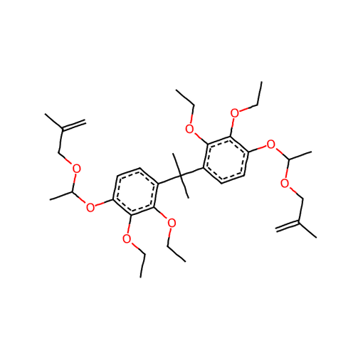 C=C(C)COC(C)Oc1ccc(C(C)(C)c2ccc(OC(C)OCC(=C)C)c(OCC)c2OCC)c(OCC)c1OCC